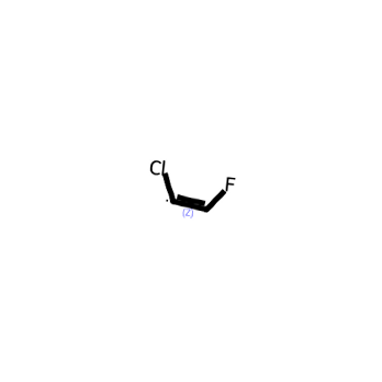 F/C=[C]\Cl